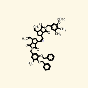 C=CC1CC(/C=C\C2CC(C=C)C3C(=O)N(Cc4cc(C)c(OCc5ccccc5)c(OCc5ccccc5)c4)C(=O)C23)C2C(=O)N(Cc3cc(C)c(C)c(OCCCCCCCCCC)c3)C(=O)C12